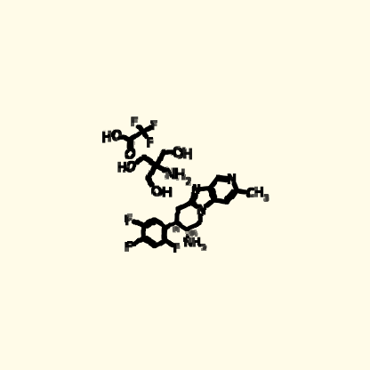 Cc1cc2c(cn1)nc1n2C[C@H](N)[C@@H](c2cc(F)c(F)cc2F)C1.NC(CO)(CO)CO.O=C(O)C(F)(F)F